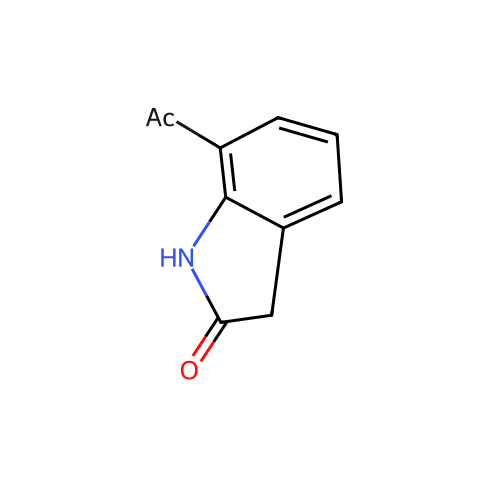 CC(=O)c1cccc2c1NC(=O)C2